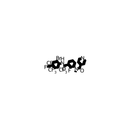 CN(C(=O)c1ccncc1)c1cccc(C(=O)Nc2c(Br)cc(C(F)(C(F)(F)F)C(F)(F)F)cc2C(F)(F)F)c1F